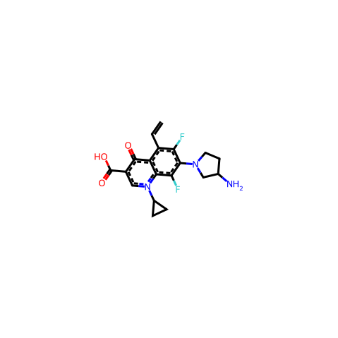 C=Cc1c(F)c(N2CCC(N)C2)c(F)c2c1c(=O)c(C(=O)O)cn2C1CC1